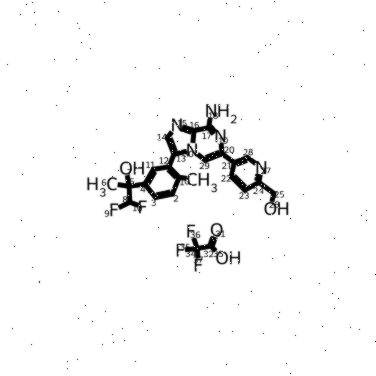 Cc1ccc(C(C)(O)C(F)F)cc1-c1cnc2c(N)nc(-c3ccc(CO)nc3)cn12.O=C(O)C(F)(F)F